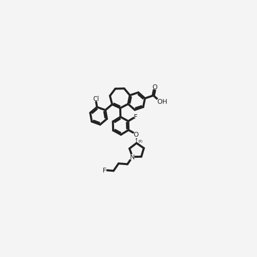 O=C(O)c1ccc2c(c1)CCCC(c1ccccc1Cl)=C2c1cccc(O[C@@H]2CCN(CCCF)C2)c1F